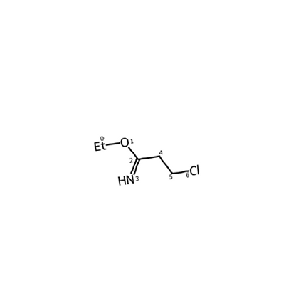 CCOC(=N)CCCl